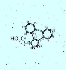 O=C(O)Cn1nnc(-c2ccncc2)c1-c1ccccc1